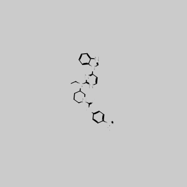 CCN(c1nccc(-n2cnc3ccccc32)n1)C1CCCN(C(=O)Oc2ccc([N+](=O)[O-])cc2)C1